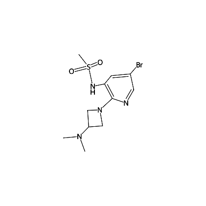 CN(C)C1CN(c2ncc(Br)cc2NS(C)(=O)=O)C1